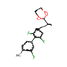 CC(c1cc(F)c(-c2ccc(C#N)c(F)c2)c(F)c1)C1OCCO1